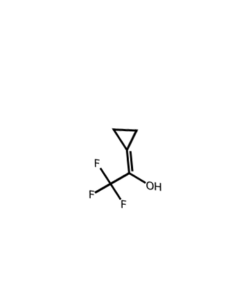 OC(=C1CC1)C(F)(F)F